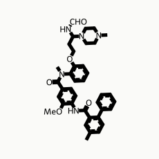 COc1cc(C(=O)N(C)c2ccccc2OCCC(NC=O)N2CCN(C)CC2)ccc1NC(=O)c1cc(C)ccc1-c1ccccc1